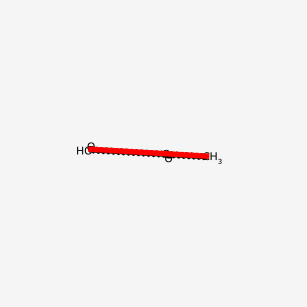 CCCCCCCCCCCCCCCC(=O)OCCCCCCCCCCCCCCCCCCCCCCCCCCCCCC(=O)O